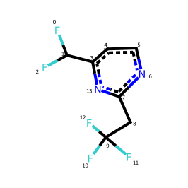 FC(F)c1[c]cnc(CC(F)(F)F)n1